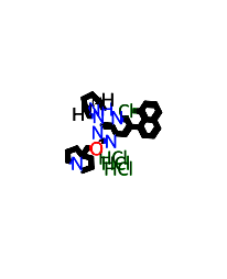 Cl.Cl.Cl.Clc1cccc2cccc(-c3cnc4c(N5C[C@H]6CC[C@@H](C5)N6)nc(OCC56CCCN5CCC6)nc4c3)c12